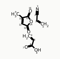 C=CC#N.C=CC(=O)O.CC1=CC(=O)OC1=O